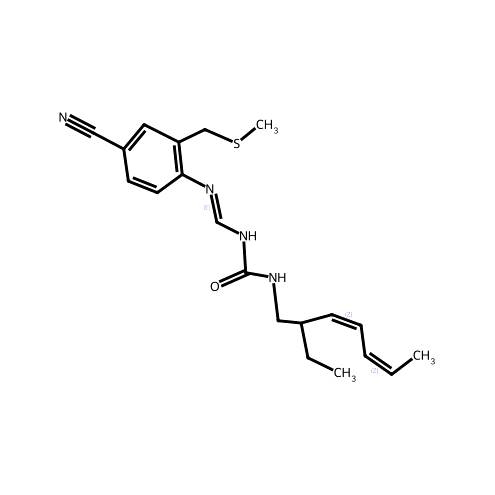 C/C=C\C=C/C(CC)CNC(=O)N/C=N/c1ccc(C#N)cc1CSC